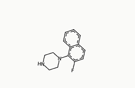 Fc1ccc2ccccc2c1N1CCNCC1